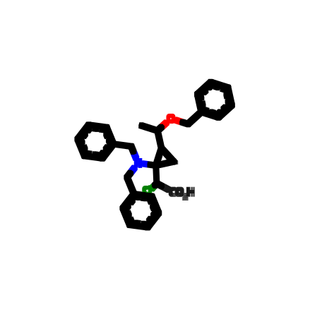 CC(OCc1ccccc1)C1CC1(C(Cl)C(=O)O)N(Cc1ccccc1)Cc1ccccc1